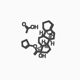 C=C(OC1=CCCC1)[C@]1(O)CC[C@H]2[C@@H]3CCC4=CCCC[C@]4(C=O)[C@H]3CC[C@@]21C.CC(=O)O